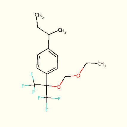 CCOCOC(c1ccc(C(C)CC)cc1)(C(F)(F)F)C(F)(F)F